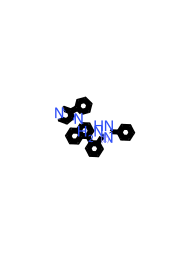 N=C(/N=C(\N)c1ccccc1-c1ccc(-n2c3ccccc3c3cnccc32)c2ccccc12)c1ccccc1